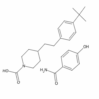 CC(C)(C)c1ccc(CCC2CCN(C(=O)O)CC2)cc1.NC(=O)c1ccc(O)cc1